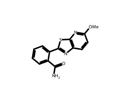 COc1ccc2nc(-c3ccccc3C(N)=O)sc2n1